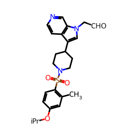 Cc1cc(OC(C)C)ccc1S(=O)(=O)N1CCC(c2cn(CC=O)c3cnccc23)CC1